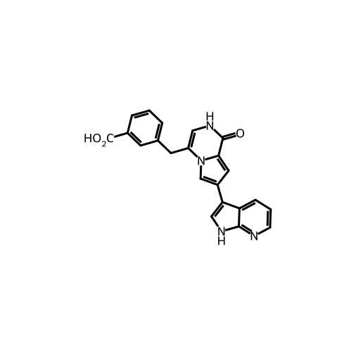 O=C(O)c1cccc(Cc2c[nH]c(=O)c3cc(-c4c[nH]c5ncccc45)cn23)c1